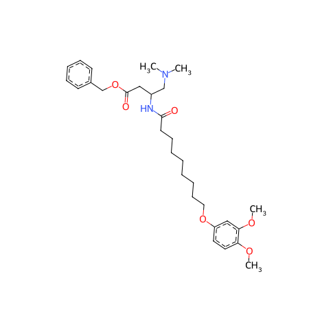 COc1ccc(OCCCCCCCCC(=O)NC(CC(=O)OCc2ccccc2)CN(C)C)cc1OC